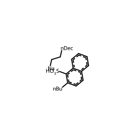 CCCCCCCCCCC[CH2][Na].CCCCc1ccc2ccccc2c1S(=O)(=O)O